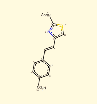 CC(=O)Nc1nc(C=Cc2ccc(C(=O)O)cc2)cs1